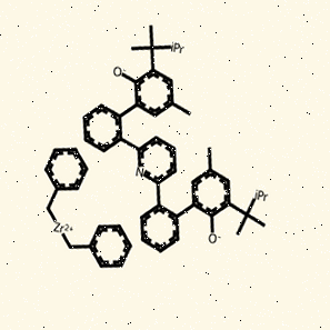 Cc1cc(-c2ccccc2-c2cccc(-c3ccccc3-c3cc(C)cc(C(C)(C)C(C)C)c3[O-])n2)c([O-])c(C(C)(C)C(C)C)c1.c1ccc([CH2][Zr+2][CH2]c2ccccc2)cc1